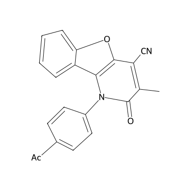 CC(=O)c1ccc(-n2c(=O)c(C)c(C#N)c3oc4ccccc4c32)cc1